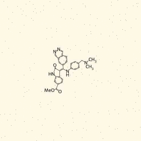 COC(=O)c1ccc2c(c1)NC(=O)C2=C(Nc1ccc(CN(C)C)cc1)c1ccc2cnncc2c1